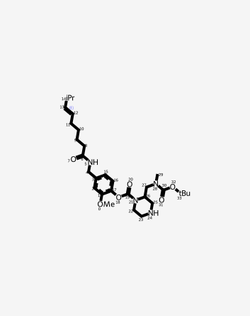 COc1cc(CNC(=O)CCCC/C=C/C(C)C)ccc1OC(=O)N1CCNCC1CN(C)C(=O)OC(C)(C)C